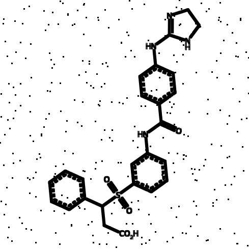 O=C(O)CC(c1ccccc1)S(=O)(=O)c1cccc(NC(=O)c2ccc(NC3=NCCN3)cc2)c1